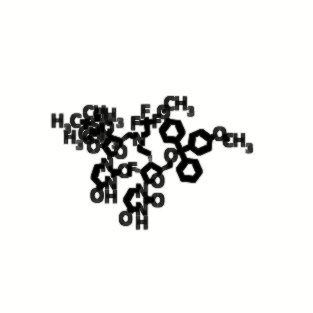 COc1ccc(C(OC[C@H]2O[C@@H](n3ccc(=O)[nH]c3=O)[C@H](F)[C@@H]2CCN(C[C@H]2O[C@@H](n3ccc(=O)[nH]c3=O)[C@H](OC)[C@@H]2O[Si](C)(C)C(C)(C)C)CC(F)(F)F)(c2ccccc2)c2ccc(OC)cc2)cc1